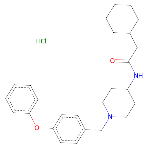 Cl.O=C(CC1CCCCC1)NC1CCN(Cc2ccc(Oc3ccccc3)cc2)CC1